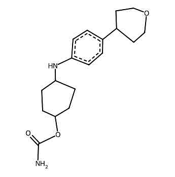 NC(=O)OC1CCC(Nc2ccc(C3CCOCC3)cc2)CC1